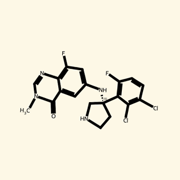 Cn1cnc2c(F)cc(N[C@]3(c4c(F)ccc(Cl)c4Cl)CCNC3)cc2c1=O